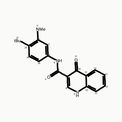 CNc1cc(NC(=O)c2c[nH]c3ccccc3c2=O)ccc1C(C)(C)C